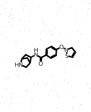 O=C(NC1CC2CC1CN2)c1ccc(ON2CC=CS2)cc1